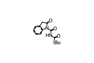 CC(C)(C)C(=O)NC(=O)N1C(=O)Cc2ccccc21